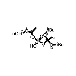 CCCCCCCCOC(C)OP(=O)(O)OC(C)(OCCCC)OCCCC